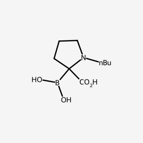 CCCCN1CCCC1(B(O)O)C(=O)O